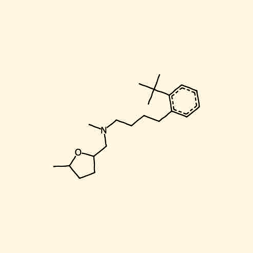 CC1CCC(CN(C)CCCCc2ccccc2C(C)(C)C)O1